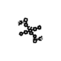 C=Cc1c(/C=C(\C)c2ccc3c(c2)C2(C)CCCCC2(C)N3c2ccnc(C)c2)c(-c2ccc(-c3ccccc3)cc2)c2ccc(-c3ccc4c(c3)C3(C)CCCCC3(C)N4c3ccnc(C)c3)cc2c1-c1ccc(-c2ccccc2)cc1